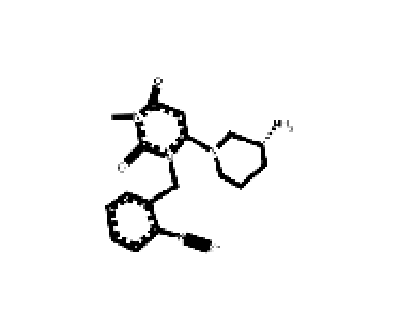 [C-]#[N+]c1ccccc1Cn1c(N2CCC[C@@H](N)C2)cc(=O)n(C)c1=O